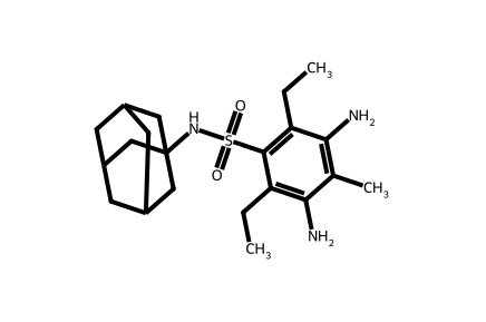 CCc1c(N)c(C)c(N)c(CC)c1S(=O)(=O)NC12CC3CC(CC(C3)C1)C2